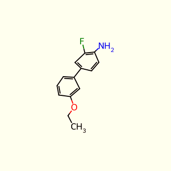 CCOc1cccc(-c2ccc(N)c(F)c2)c1